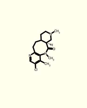 Cc1c(Cl)cnc2c1N(C)C(=O)[C@@H]1CN(C)CCC1CC2